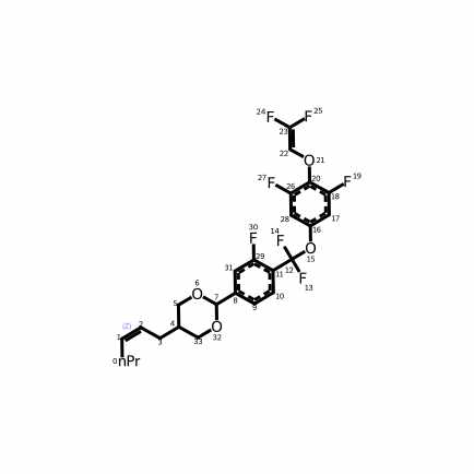 CCC/C=C\CC1COC(c2ccc(C(F)(F)Oc3cc(F)c(OC=C(F)F)c(F)c3)c(F)c2)OC1